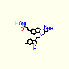 Cc1ccc2c(CCN(Cc3cn[nH]c3)C3CCc4cc(/C=C/C(=O)NO)ccc43)c[nH]c2c1